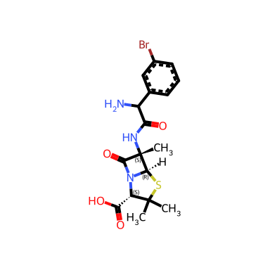 CC1(C)S[C@H]2N(C(=O)[C@]2(C)NC(=O)C(N)c2cccc(Br)c2)[C@H]1C(=O)O